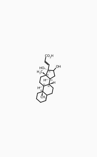 C[C@]12CCCCC1CC[C@@H]1[C@@H]2CC[C@@]2(C)[C@H]1CC(O)[C@]2(O)C=CC(=O)O